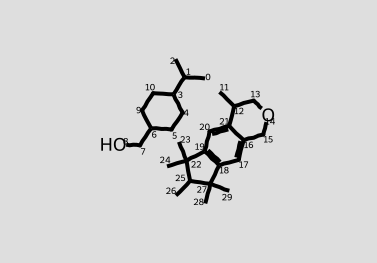 CC(C)C1CCC(CO)CC1.CC1COCc2cc3c(cc21)C(C)(C)C(C)C3(C)C